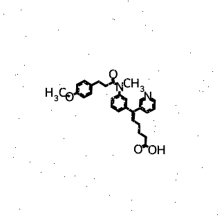 COc1ccc(CCC(=O)N(C)c2cccc(C(=CCCCC(=O)O)c3cccnc3)c2)cc1